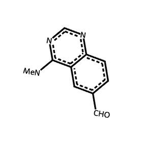 CNc1ncnc2ccc(C=O)cc12